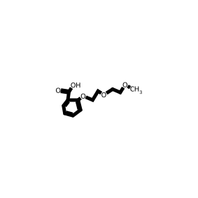 COCCOCCOc1ccccc1C(=O)O